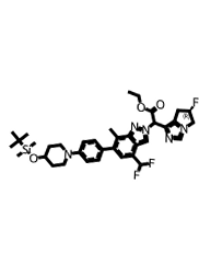 CCOC(=O)C(c1ncn2c1C[C@@H](F)C2)n1cc2c(C(F)F)cc(-c3ccc(N4CCC(O[Si](C)(C)C(C)(C)C)CC4)cc3)c(C)c2n1